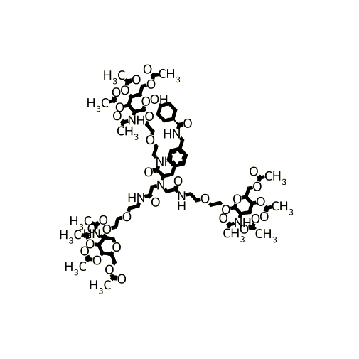 CC(=O)NC1C(OCCOCCNC(=O)CN(CC(=O)NCCOCCOC2(NC(C)=O)COC(COC(C)=O)C(OC(C)=O)C2OC(C)=O)C(Cc2ccc(CNC(=O)[C@H]3CC[C@@H](O)CC3)cc2)C(=O)NCCOCCOC2OC(COC(C)=O)C(OC(C)=O)C(OC(C)=O)C2NC(C)=O)OC(COC(C)=O)C(OC(C)=O)C1OC(C)=O